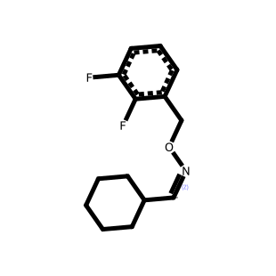 Fc1cccc(CO/N=[C]\C2CCCCC2)c1F